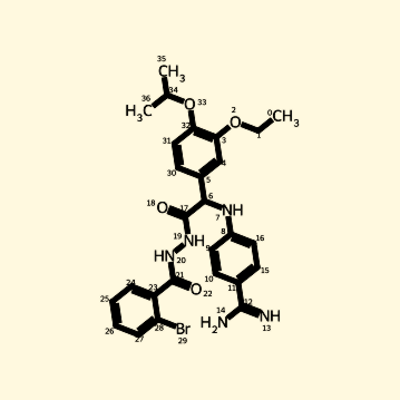 CCOc1cc(C(Nc2ccc(C(=N)N)cc2)C(=O)NNC(=O)c2ccccc2Br)ccc1OC(C)C